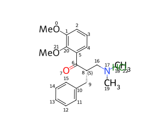 COc1cccc(C(=O)[C@@H](Cc2ccccc2)CN(C)C)c1OC.Cl